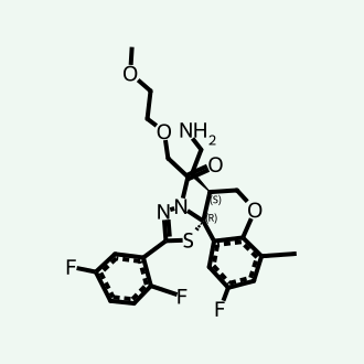 COCCOCC(=O)N1N=C(c2cc(F)ccc2F)S[C@]12c1cc(F)cc(C)c1OC[C@@H]2CCN